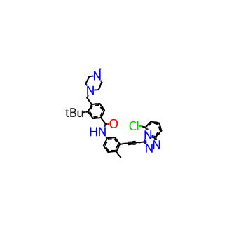 Cc1ccc(NC(=O)c2ccc(CN3CCN(C)CC3)c(C(C)(C)C)c2)cc1C#Cc1nnc2cccc(Cl)n12